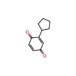 O=C1C=CC(=O)C(C2CCCC2)=C1